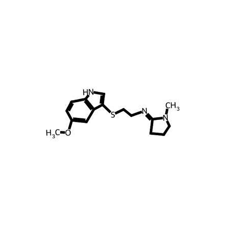 COc1ccc2[nH]cc(SCC/N=C3\CCCN3C)c2c1